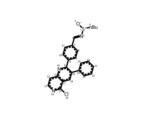 CCCC[S+]([O-])N=Cc1ccc(-c2nc3ccnc(Cl)c3cc2-c2ccccc2)cc1